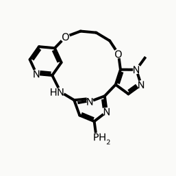 Cn1ncc2c1OCCCOc1ccnc(c1)Nc1cc(P)nc-2n1